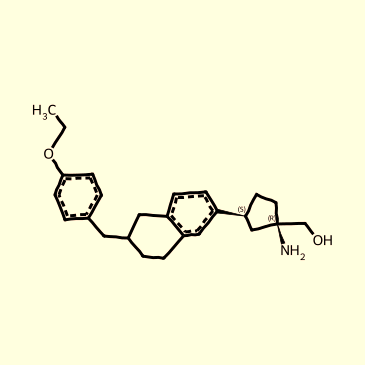 CCOc1ccc(CC2CCc3cc([C@H]4CC[C@](N)(CO)C4)ccc3C2)cc1